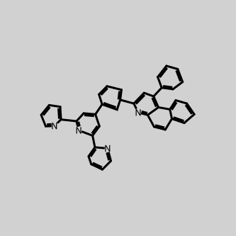 c1ccc(-c2cc(-c3cccc(-c4cc(-c5ccccn5)nc(-c5ccccn5)c4)c3)nc3ccc4ccccc4c23)cc1